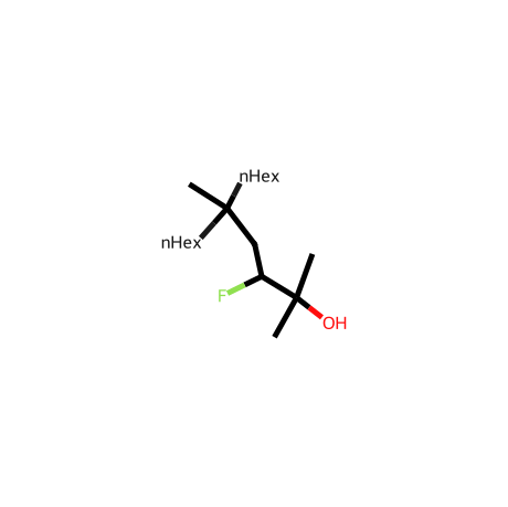 CCCCCCC(C)(CCCCCC)CC(F)C(C)(C)O